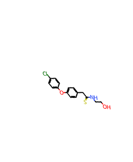 OCCNC(=S)Cc1ccc(Oc2ccc(Cl)cc2)cc1